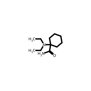 C[CH2][Al]([CH2]C)[C]1(C(N)=O)CCCCC1